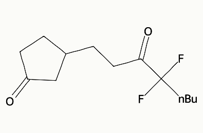 CCCCC(F)(F)C(=O)CCC1CCC(=O)C1